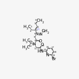 C=C/C=C(\CC)N(CC(=O)N(CC(=O)Nc1cccc(Br)n1)C(C)C)N=C